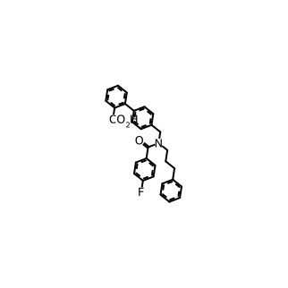 O=C(O)c1ccccc1-c1ccc(CN(CCCc2ccccc2)C(=O)c2ccc(F)cc2)cc1